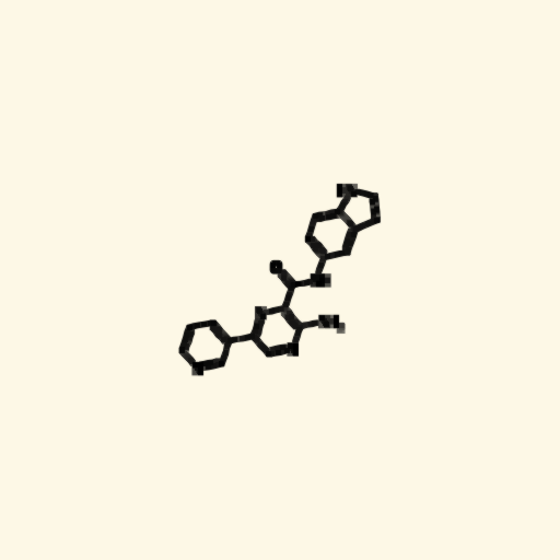 Nc1ncc(-c2cccnc2)nc1C(=O)Nc1ccc2[nH]ccc2c1